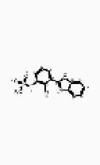 O=S(=O)(Oc1cccc(-c2nc3ccccc3o2)c1Cl)C(F)(F)F